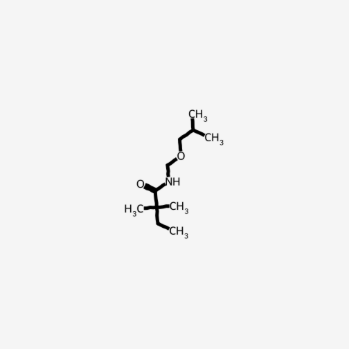 CCC(C)(C)C(=O)NCOCC(C)C